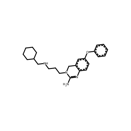 NC1=Nc2ccc(Oc3ccccc3)cc2CN1CCCNCC1CCCCC1